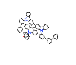 C1=CCC2C(=C1)N(c1ccccc1)c1ccccc1C21c2cc3c(cc2-c2cc4c5ccccc5n(-c5cccc(-c6cccc(-c7ccccc7)c6)c5)c4cc21)c1ccccc1n3-c1cccc(-c2cccc(-c3ccccc3)c2)c1